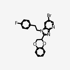 Fc1ccc(CCn2c(C3COc4ccccc4O3)nc3ncc(Br)cc32)cc1